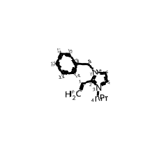 C=Cc1n(CCC)cc[n+]1Cc1ccccc1